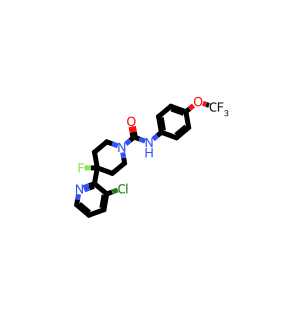 O=C(Nc1ccc(OC(F)(F)F)cc1)N1CCC(F)(c2ncccc2Cl)CC1